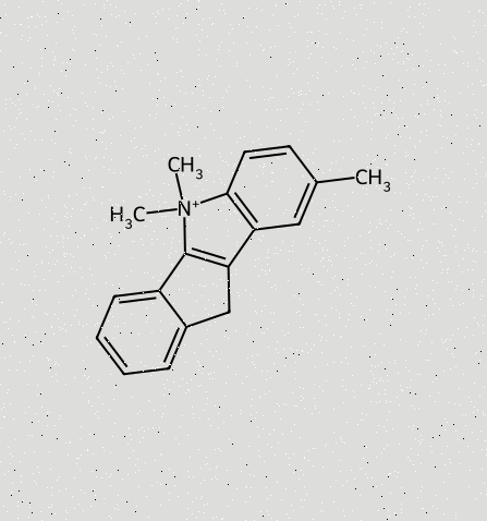 Cc1ccc2c(c1)C1=C(c3ccccc3C1)[N+]2(C)C